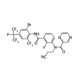 N#CCCN(C(=O)c1cnccn1)c1cccc(C(=O)Nc2c(Br)cc(C(F)(C(F)(F)F)C(F)(F)F)cc2C(F)(F)F)c1F